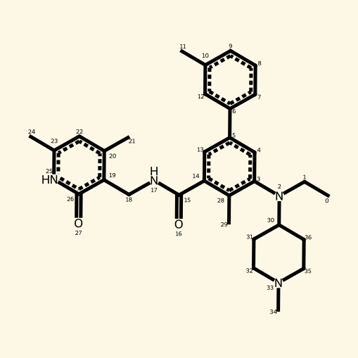 CCN(c1cc(-c2cccc(C)c2)cc(C(=O)NCc2c(C)cc(C)[nH]c2=O)c1C)C1CCN(C)CC1